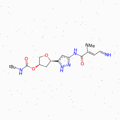 CN/C(=C\C=N)C(=O)Nc1cc([C@H]2C[C@@H](OC(=O)NC(C)(C)C)CO2)[nH]n1